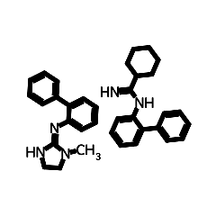 CN1CCN/C1=N/c1ccccc1-c1ccccc1.N=C(Nc1ccccc1-c1ccccc1)C1CCCCC1